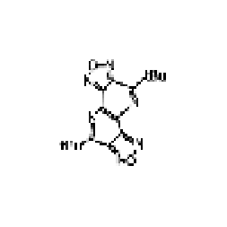 CC(C)(C)c1nc2c3nonc3c(C(C)(C)C)nc2c2nonc12